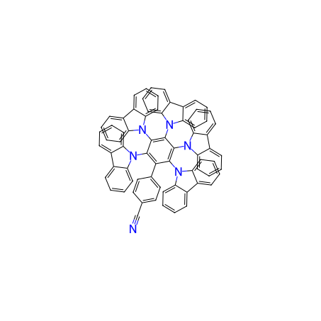 N#Cc1ccc(-c2c(-n3c4ccccc4c4ccccc43)c(-n3c4ccccc4c4ccccc43)c(-n3c4ccccc4c4ccccc43)c(-n3c4ccccc4c4ccccc43)c2-n2c3ccccc3c3ccccc32)cc1